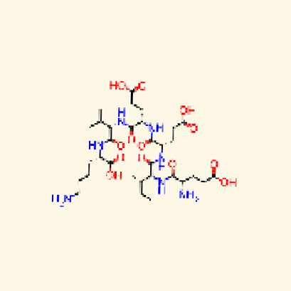 CC[C@H](C)[C@H](NC(=O)[C@@H](N)CCC(=O)O)C(=O)N[C@@H](CCC(=O)O)C(=O)N[C@@H](CCC(=O)O)C(=O)N[C@H](C(=O)N[C@@H](CCCCN)C(=O)O)C(C)C